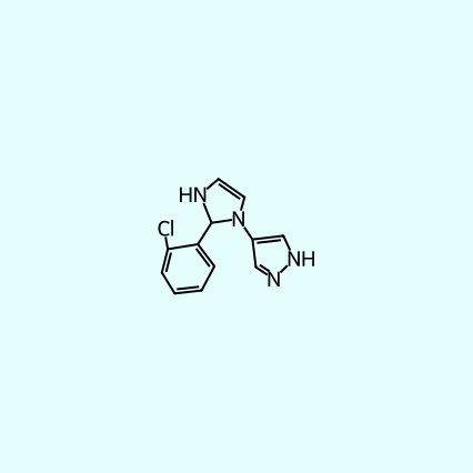 Clc1ccccc1C1NC=CN1c1cn[nH]c1